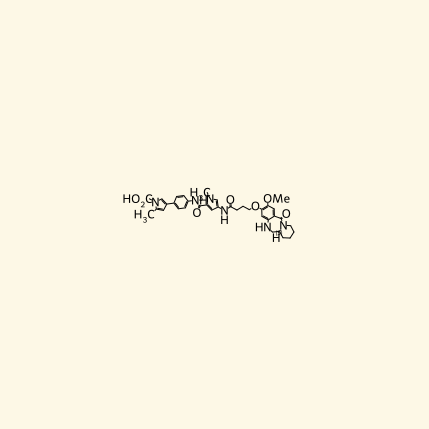 COc1cc2c(cc1OCCCC(=O)Nc1cc(C(=O)Nc3ccc(-c4cc(C)n(C(=O)O)c4)cc3)n(C)c1)NC[C@@H]1CCCCN1C2=O